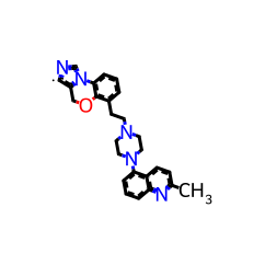 Cc1ccc2c(N3CCN(CCc4cccc5c4OCc4[c]ncn4-5)CC3)cccc2n1